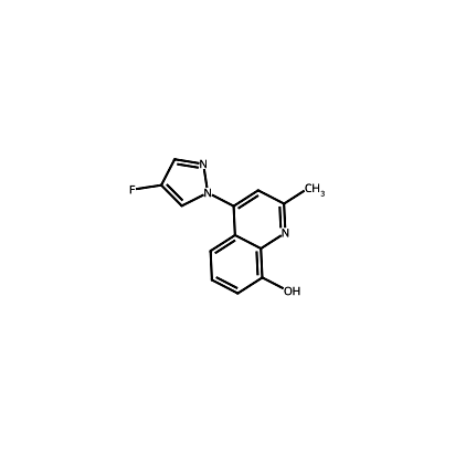 Cc1cc(-n2cc(F)cn2)c2cccc(O)c2n1